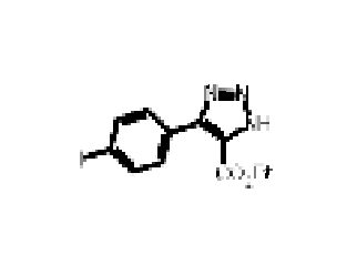 CCOC(=O)c1[nH]nnc1-c1ccc(I)cc1